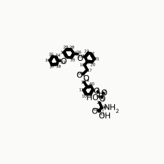 N[C@@H](COP(=O)(O)Oc1cccc(COC(=O)CCc2ccccc2OCc2cccc(Oc3ccccc3)c2)c1)C(=O)O